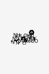 COC(=O)[C@@H](C)NP(=S)(OC[C@@]1(CCl)O[C@@H](n2cnc3c(N(C)C)nc(N)nc32)[C@@H](F)[C@@H]1O)Oc1ccccc1